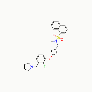 CN(CC1CC(Oc2cccc(CN3CCCC3)c2Cl)C1)S(=O)(=O)c1cccc2ccccc12